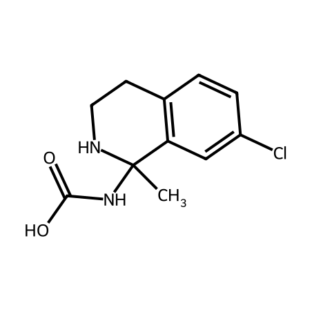 CC1(NC(=O)O)NCCc2ccc(Cl)cc21